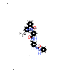 O=C(Nc1ccccc1)Nc1ccc(CNC(=O)c2cccc(NC(=O)c3ccccc3-c3ccc(C(F)(F)F)cc3)c2)cc1